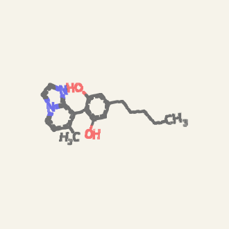 CCCCCc1cc(O)c(-c2c(C)ccn3ccnc23)c(O)c1